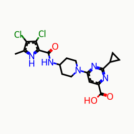 Cc1[nH]c(C(=O)NC2CCN(c3cc(C(=O)O)nc(C4CC4)n3)CC2)c(Cl)c1Cl